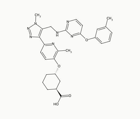 Cc1cccc(Oc2ccnc(NCc3c(-c4ccc(O[C@H]5CCC[C@H](C(=O)O)C5)c(C)n4)nnn3C)n2)c1